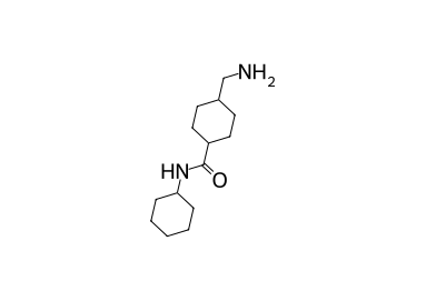 NCC1CCC(C(=O)NC2CCCCC2)CC1